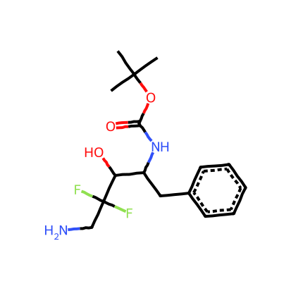 CC(C)(C)OC(=O)NC(Cc1ccccc1)C(O)C(F)(F)CN